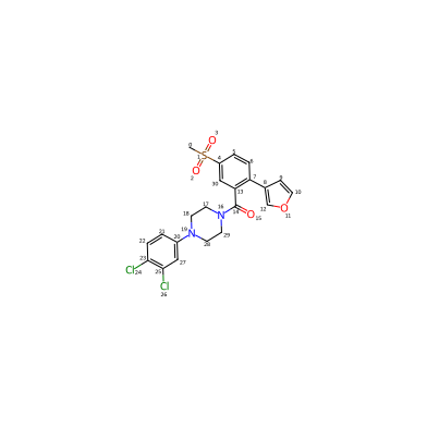 CS(=O)(=O)c1ccc(-c2ccoc2)c(C(=O)N2CCN(c3ccc(Cl)c(Cl)c3)CC2)c1